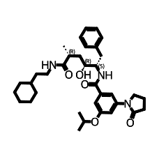 CC(C)Oc1cc(C(=O)N[C@@H](Cc2ccccc2)[C@H](O)C[C@@H](C)C(=O)NCCC2CCCCC2)cc(N2CCCC2=O)c1